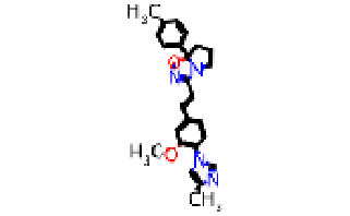 COc1cc(/C=C/C2=NOC3(c4ccc(C)cc4)CCCN23)ccc1-n1cnc(C)c1